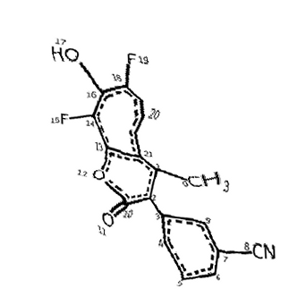 Cc1c(-c2cccc(C#N)c2)c(=O)oc2c(F)c(O)c(F)cc12